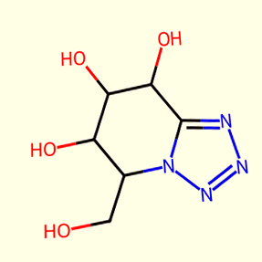 OCC1C(O)C(O)C(O)c2nnnn21